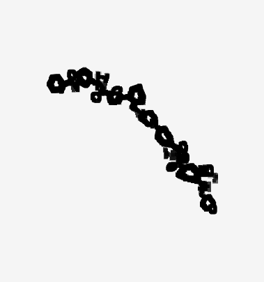 O=C(NS(=O)(=O)c1ccc(NCC2CCOCC2)c([N+](=O)[O-])c1)c1ccc(N2CCN(Cc3ccccc3-c3ccc(C(=O)Nc4ccc5oc(-c6ccccc6)nc5c4)o3)CC2)cc1